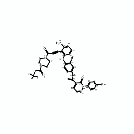 CC(C)(C)OC(=O)N1CCN(C(=O)C#Cc2c(Oc3ccc(NC(=O)c4ccnn(-c5ccc(F)cc5)c4=O)cc3F)ccnc2N)CC1